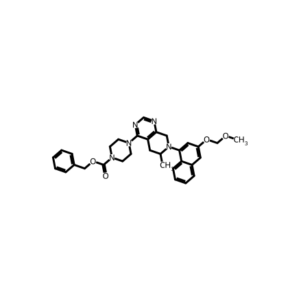 COCOc1cc(N2Cc3ncnc(N4CCN(C(=O)OCc5ccccc5)CC4)c3CC2C)c2ccccc2c1